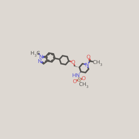 CC(=O)N1CC[C@H](NS(C)(=O)=O)[C@H](COC2CCC(c3ccc4c(cnn4C)c3)CC2)C1